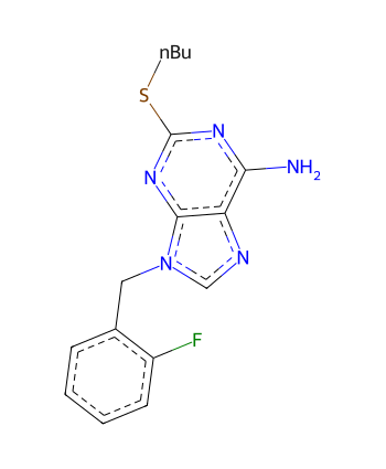 CCCCSc1nc(N)c2ncn(Cc3ccccc3F)c2n1